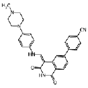 CN1CCN(c2ccc(NC=C3C(=O)NC(=O)c4ccc(-c5ccc(C#N)cc5)cc43)cc2)CC1